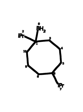 BC1(C(C)C)CCCC(C(C)C)CCC1